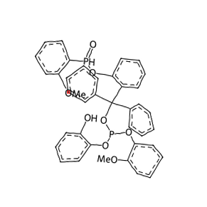 COc1ccccc1OP(Oc1ccccc1O)OC(c1ccccc1)(c1ccccc1)c1ccccc1O[PH](=O)c1ccccc1OC